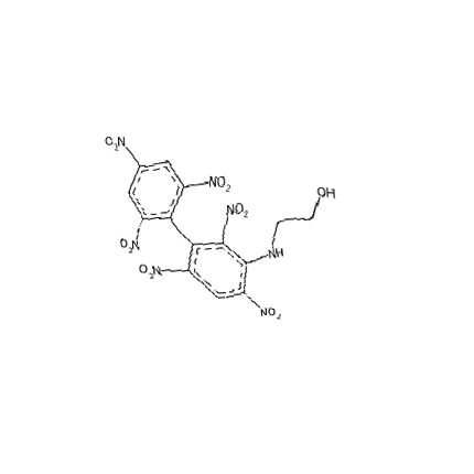 O=[N+]([O-])c1cc([N+](=O)[O-])c(-c2c([N+](=O)[O-])cc([N+](=O)[O-])c(NCCO)c2[N+](=O)[O-])c([N+](=O)[O-])c1